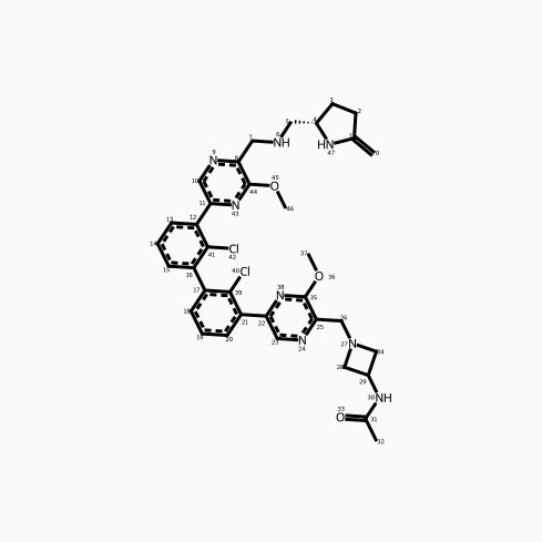 C=C1CC[C@@H](CNCc2ncc(-c3cccc(-c4cccc(-c5cnc(CN6CC(NC(C)=O)C6)c(OC)n5)c4Cl)c3Cl)nc2OC)N1